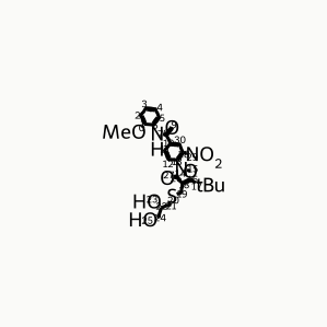 COc1ccccc1NC(=O)c1ccc(-n2oc(C(C)(C)C)c(CSCC(O)CO)c2=O)c([N+](=O)[O-])c1